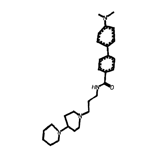 CN(C)c1ccc(-c2ccc(C(=O)NCCCN3CCC(N4CCCCC4)CC3)cc2)cc1